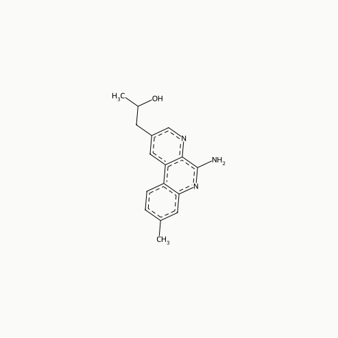 Cc1ccc2c(c1)nc(N)c1ncc(CC(C)O)cc12